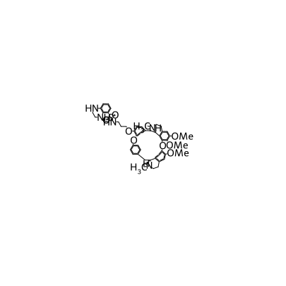 COc1cc2c3cc1Oc1c(OC)c(OC)cc4c1[C@H](Cc1ccc(OCCCNS(=O)(=O)c5cccc6c5NCCN6)c(c1)Oc1ccc(cc1)C[C@H]3N(C)CC2)N(C)CC4